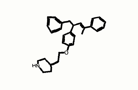 CC(=CC(Cc1ccccc1)c1ccc(OCCC2CCNCC2)cc1)c1ccccc1